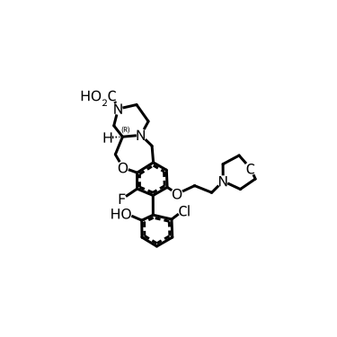 O=C(O)N1CCN2Cc3cc(OCCN4CCCCC4)c(-c4c(O)cccc4Cl)c(F)c3OC[C@H]2C1